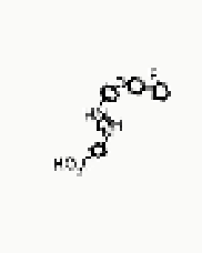 O=C(O)c1ccc(CN2C[C@@H]3C[C@H]2CN3Cc2ccc(Oc3ccc(-c4ccccc4F)cc3)cc2)cc1